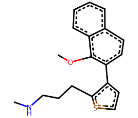 CNCCCc1sccc1-c1ccc2ccccc2c1OC